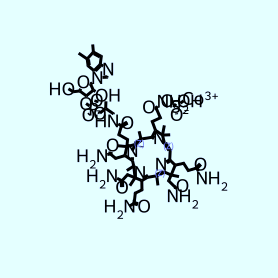 C/C1=C2N=C(/C=C3N=C(/C(C)=C4\[N-]C(C(CC(N)=O)C4(C)CCC(=O)NCC(C)OP(=O)([O-])OC4C(CO)OC(n5cnc6cc(C)c(C)cc65)C4O)C4(C)N=C1C(CCC(N)=O)C4(C)CC(N)=O)C(CCC(N)=O)C\3(C)C)C(CCC(N)=O)C/2(C)CC(N)=O.O=S([O-])O.[Co+3]